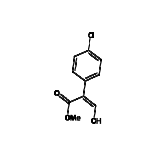 COC(=O)/C(=C\O)c1ccc(Cl)cc1